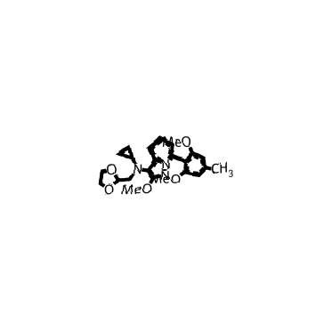 COc1cc(C)cc(OC)c1-c1cccc2c(N(CC3OCCO3)C3CC3)c(OC)nn12